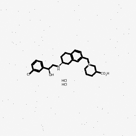 Cl.Cl.O=C(O)C1CCCN(Cc2ccc3c(c2)C[C@@H](NC[C@@H](O)c2cccc(Cl)c2)CC3)C1